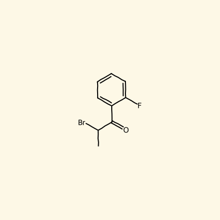 CC(Br)C(=O)c1ccccc1F